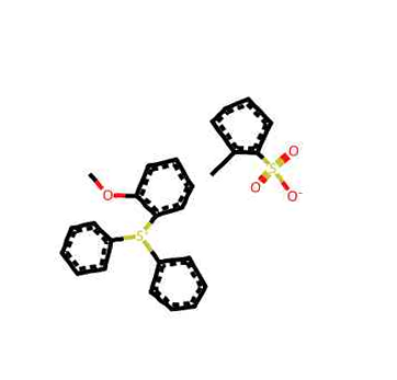 COc1ccccc1[S+](c1ccccc1)c1ccccc1.Cc1ccccc1S(=O)(=O)[O-]